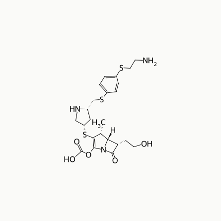 C[C@H]1C(S[C@@H]2CN[C@H](CSc3ccc(SCCN)cc3)C2)=C(OC(=O)O)N2C(=O)[C@@H](CCO)[C@@H]12